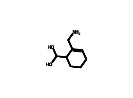 NCC1=CCCCC1C(O)O